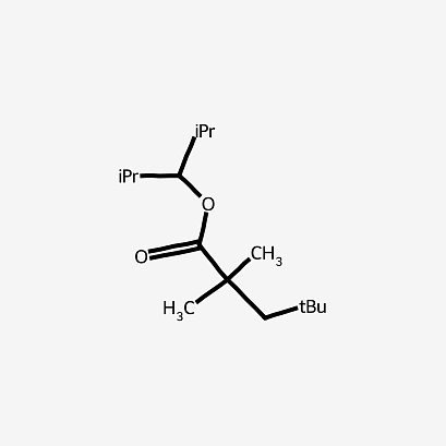 CC(C)C(OC(=O)C(C)(C)CC(C)(C)C)C(C)C